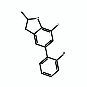 [CH2]C1Cc2cc(-c3ccccc3F)cc(F)c2O1